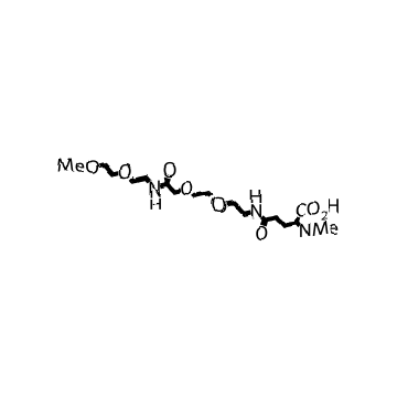 CNC(CCC(=O)NCCOCCOCC(=O)NCCOCCOC)C(=O)O